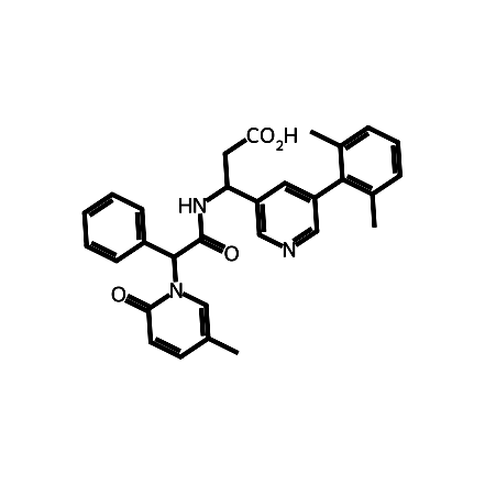 Cc1ccc(=O)n(C(C(=O)NC(CC(=O)O)c2cncc(-c3c(C)cccc3C)c2)c2ccccc2)c1